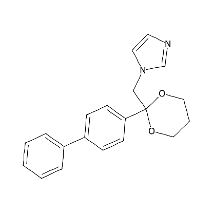 c1ccc(-c2ccc(C3(Cn4ccnc4)OCCCO3)cc2)cc1